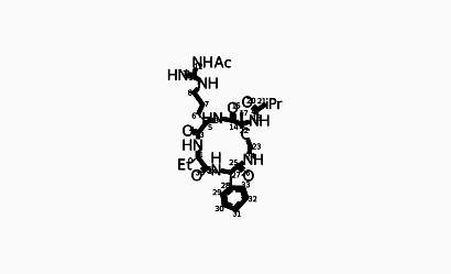 CC[C@@H]1NC(=O)[C@H](CCCNC(=N)NC(C)=O)NC(=O)[C@](C)(NC(=O)C(C)C)CCNC(=O)[C@@H](c2ccccc2)NC1=O